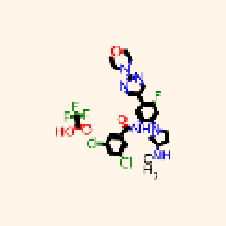 CNC1CCN(c2cc(F)c(-c3cnc(N4CCOCC4)nc3)cc2NC(=O)c2cc(Cl)cc(Cl)c2)C1.O=C(O)C(F)(F)F